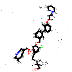 Cc1c(COc2cc(OCc3cncc(C#N)c3)c(C[AsH][C@@](C)(CO)C(=O)O)cc2Cl)cccc1-c1cccc(OCCCN2CCC[C@H](C(=O)O)C2)c1C